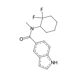 CN(C(=O)c1ccc2[nH]ccc2c1)C1CCCCC1(F)F